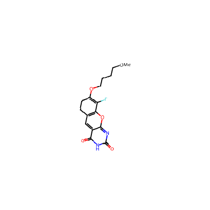 COCCCCOC1=C(F)c2oc3nc(=O)[nH]c(=O)c-3cc2CC1